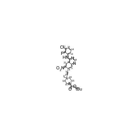 CC1(C#Cc2cc3ncnc(Nc4cccc(Cl)c4F)c3cc2[N+](=O)[O-])CCN(C(=O)OC(C)(C)C)CC1